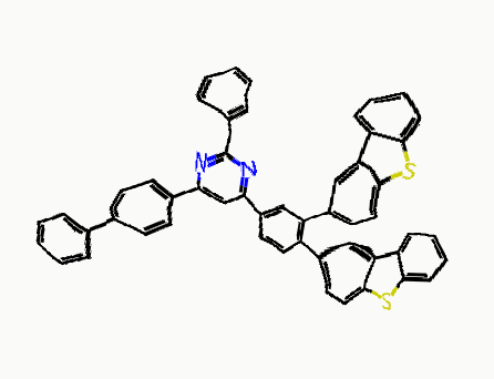 c1ccc(-c2ccc(-c3cc(-c4ccc(-c5ccc6sc7ccccc7c6c5)c(-c5ccc6sc7ccccc7c6c5)c4)nc(-c4ccccc4)n3)cc2)cc1